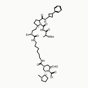 CCC(=O)N[C@H](C=O)CN(CC[C@@H]1CCCN1C)C(=O)NCCCCCCNC(=O)N(CC)CC[C@H]1CCC(C(=O)NC2CC(c3ccccc3)C2)N1C(=O)NC(=O)C(C)NC